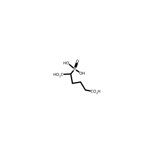 O=C(O)CCCC(C(=O)O)P(=O)(O)O